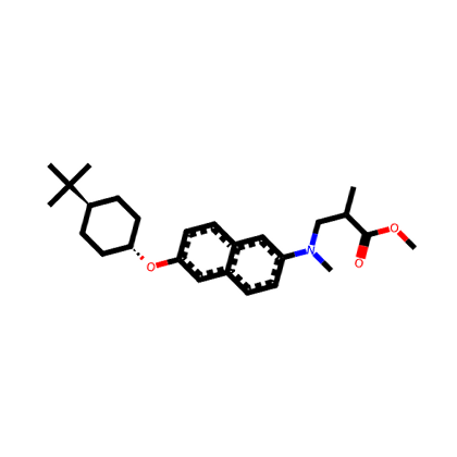 COC(=O)C(C)CN(C)c1ccc2cc(O[C@H]3CC[C@H](C(C)(C)C)CC3)ccc2c1